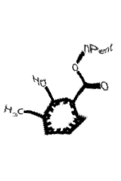 CCCCCOC(=O)c1cccc(C)c1O